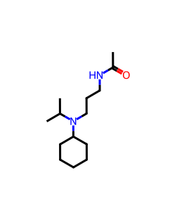 CC(=O)NCCCN(C(C)C)C1CCCCC1